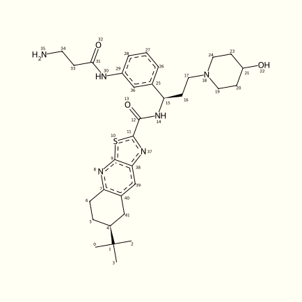 CC(C)(C)[C@H]1CCc2nc3sc(C(=O)N[C@H](CCN4CCC(O)CC4)c4cccc(NC(=O)CCN)c4)nc3cc2C1